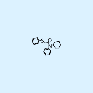 O=C(CSc1ccccc1)N(c1ccccc1)C1CCCCC1